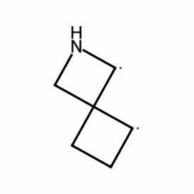 [CH]1CCC12[CH]NC2